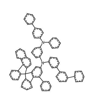 c1ccc(-c2ccc(N(c3ccccc3)c3cccc(N(c4cccc(-c5cccc(-c6ccccc6)c5)c4)c4cc(-c5ccccc5)c5c(c4)C4(c6ccccc6-5)c5ccccc5-c5c4ccc4ccccc54)c3)cc2)cc1